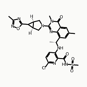 Cc1cc([C@@H](C)Nc2ccc(Cl)nc2C(=O)NS(C)(=O)=O)c2nc(N3C[C@@H]4C(c5nc(C)no5)[C@@H]4C3)n(C)c(=O)c2c1